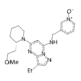 CCc1cnn2c(NCc3ccc[n+]([O-])c3)cc(N3CCCC[C@H]3CCOC)nc12